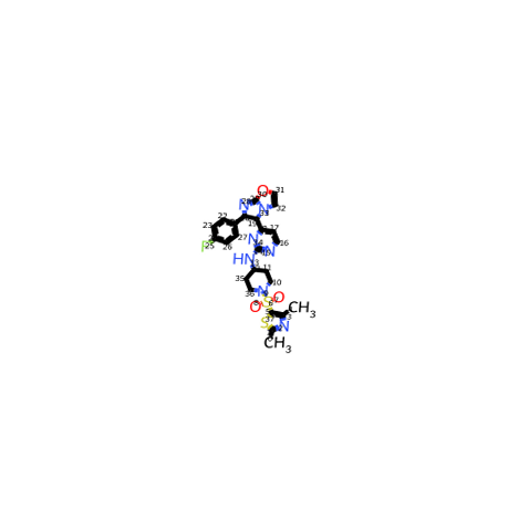 Cc1nc(C)c(S(=O)(=O)N2CCC(Nc3nccc(C4C(c5ccc(F)cc5)N=C5OC=CN54)n3)CC2)s1